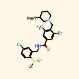 CC[S+]([O-])c1ccc(Cl)cc1CNC(=O)c1cc(Br)c(CN2CCCC(NC)C2)c(C(F)(F)F)c1